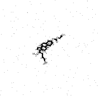 C#CCOC(=O)O[C@H]1CC[C@@]2(C)C(=CC[C@H]3[C@@H]4CC[C@H]([C@H](C)CCCC(C)C)[C@@]4(C)CC[C@@H]32)C1